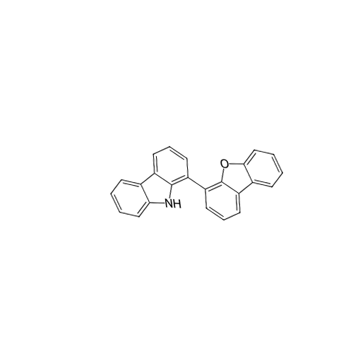 c1ccc2c(c1)[nH]c1c(-c3cccc4c3oc3ccccc34)cccc12